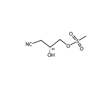 CS(=O)(=O)OC[C@H](O)CC#N